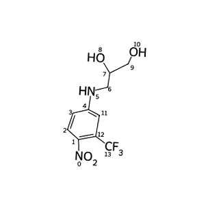 O=[N+]([O-])c1ccc(NCC(O)CO)cc1C(F)(F)F